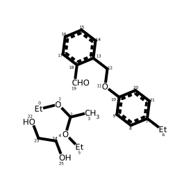 CCOC(C)OCC.CCc1ccc(OCc2ccccc2C=O)cc1.OCCO